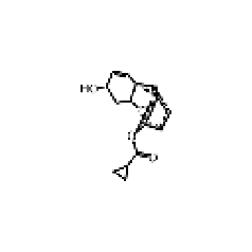 CN1CC[C@@]23C=C[C@H](O)CC2Oc2c(OC(=O)C4CC4)ccc(c23)C1